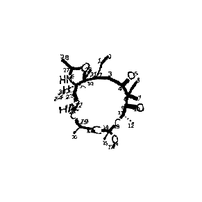 CC[C@H]1CC(=O)C(C)(C)C(=O)[C@H](C)C[C@](C)(OC)C[C@@H](C)CN[C@H](C)[C@H]2NC(C)O[C@]12C